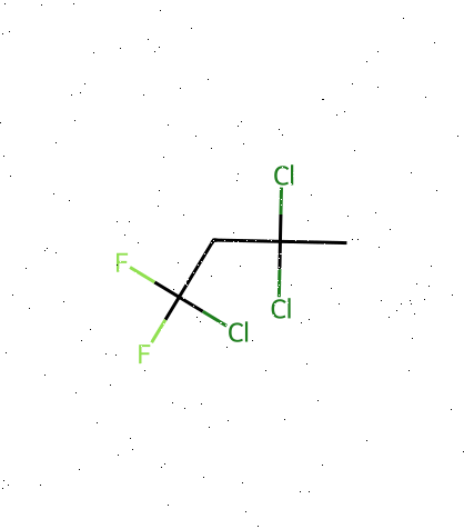 CC(Cl)(Cl)CC(F)(F)Cl